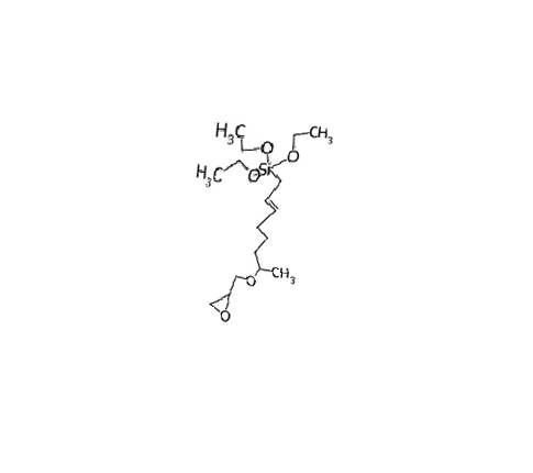 CCO[Si](CC=CCCCC(C)OCC1CO1)(OCC)OCC